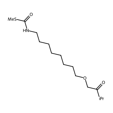 CSC(=O)NCCCCCCCCOCC(=O)C(C)C